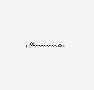 CCCCCCCCCCCCCCCCCCCCCCCCCCCCCC(O)O